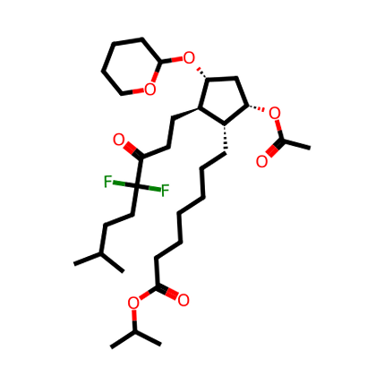 CC(=O)O[C@H]1C[C@@H](OC2CCCCO2)[C@H](CCC(=O)C(F)(F)CCC(C)C)[C@H]1CCCCCCC(=O)OC(C)C